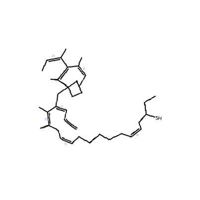 C=C/C=C(CC1(C(C)=C(/C(C)=C\C)/C(C)=C\C)CCC1)\C(C)=C(\C)C/C=C\CCCCC/C=C\CC(S)CC